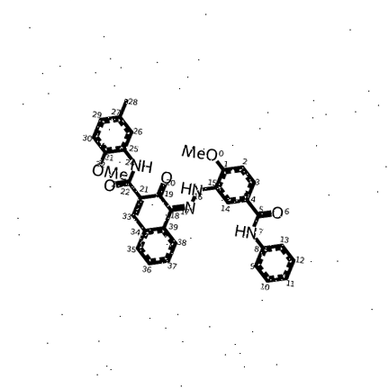 COc1ccc(C(=O)Nc2ccccc2)cc1N/N=C1\C(=O)C(C(=O)Nc2cc(C)ccc2OC)=Cc2ccccc21